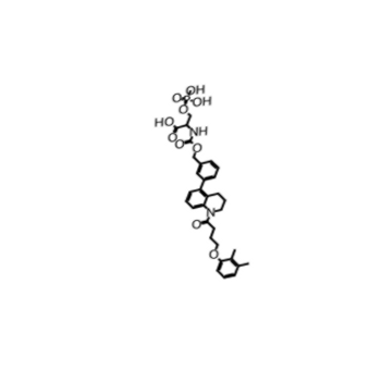 Cc1cccc(OCCCC(=O)N2CCCc3c(-c4cccc(COC(=O)NC(COP(=O)(O)O)C(=O)O)c4)cccc32)c1C